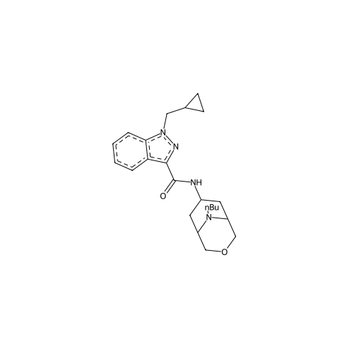 CCCCN1C2COCC1CC(NC(=O)c1nn(CC3CC3)c3ccccc13)C2